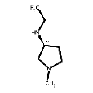 CN1CC[C@H](NCC(F)(F)F)C1